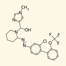 Cn1cnc(C(O)N2CCCCC2/N=N/c2ccc(-c3ccccc3OC(F)(F)F)c(Cl)c2)c1